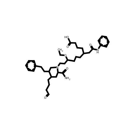 CCOC(CCCC(CCCC(=O)O)CC(=O)Nc1ccccc1)CCN1CC(CCc2ccccc2)C(CCCC=O)CC1C(N)=O